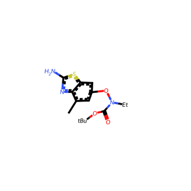 CCN(Oc1cc(C)c2nc(N)sc2c1)C(=O)OC(C)(C)C